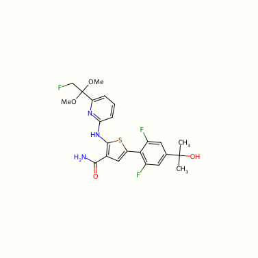 COC(CF)(OC)c1cccc(Nc2sc(-c3c(F)cc(C(C)(C)O)cc3F)cc2C(N)=O)n1